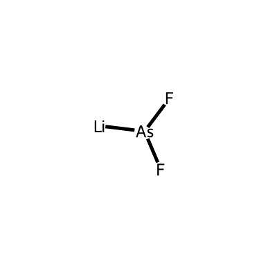 [Li][As](F)F